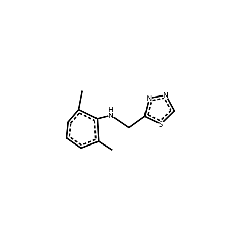 Cc1cccc(C)c1NCc1nncs1